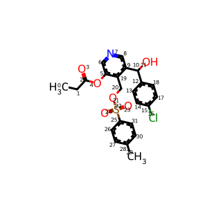 CCC(=O)Oc1cncc(C(O)c2ccc(Cl)cc2)c1COS(=O)(=O)c1ccc(C)cc1